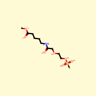 COC(=O)CCCCNC(=O)COCCOS(C)(=O)=O